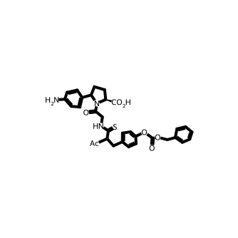 CC(=O)C(Cc1ccc(OC(=O)OCc2ccccc2)cc1)C(=S)NCC(=O)N1C(c2ccc(N)cc2)CC[C@H]1C(=O)O